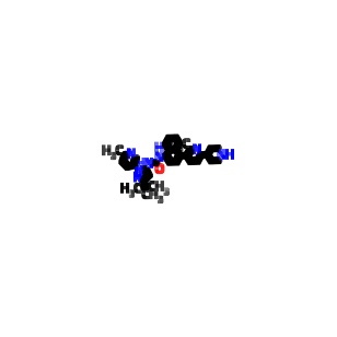 Cc1ccc(-n2nc(C(C)(C)C)cc2NC(=O)Nc2ccc(-c3ccc(C4CCNCC4)nc3C)c3ccccc23)cn1